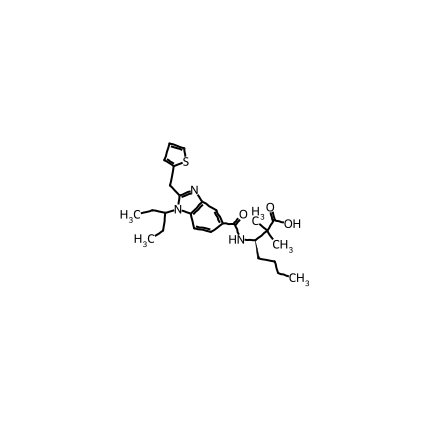 CCCC[C@@H](NC(=O)c1ccc2c(c1)nc(Cc1cccs1)n2C(CC)CC)C(C)(C)C(=O)O